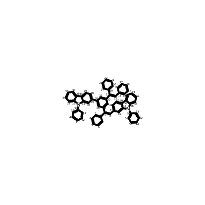 C(=C(\c1ccccc1)c1cc(/C(=C/c2ccccc2)c2ccccc2)cc(-c2ccc3c4ccccc4n(-c4ccccc4)c3c2)c1)/c1ccc2c3ccccc3n(-c3ccccc3)c2c1